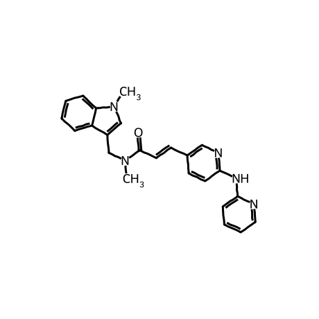 CN(Cc1cn(C)c2ccccc12)C(=O)/C=C/c1ccc(Nc2ccccn2)nc1